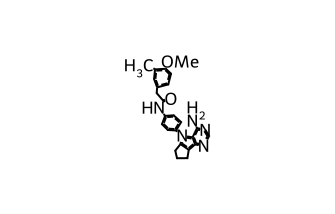 COc1ccc(CC(=O)Nc2ccc(-n3c4c(c5ncnc(N)c53)CCC4)cc2)cc1C